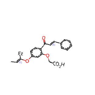 C/C=C(\CC)Oc1ccc(C(=O)/C=C/c2ccccc2)c(OCC(=O)O)c1